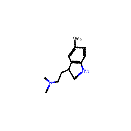 COc1ccc2c(c1)C(CCN(C)C)CN2